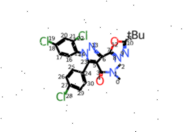 CN(C)C(=O)c1c(-c2nnc(C(C)(C)C)o2)nn(-c2ccc(Cl)cc2Cl)c1-c1ccc(Cl)cc1